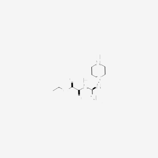 CCOC(=O)C(=O)NC(N)=NN1CCNCC1